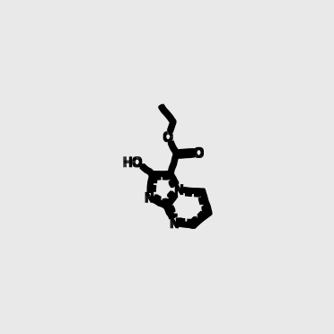 CCOC(=O)c1c(O)nc2ncccn12